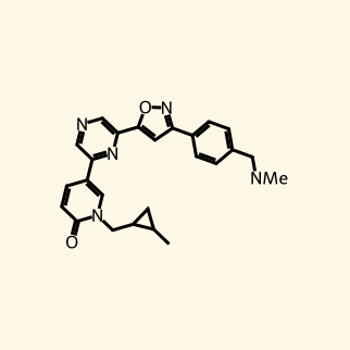 CNCc1ccc(-c2cc(-c3cncc(-c4ccc(=O)n(CC5CC5C)c4)n3)on2)cc1